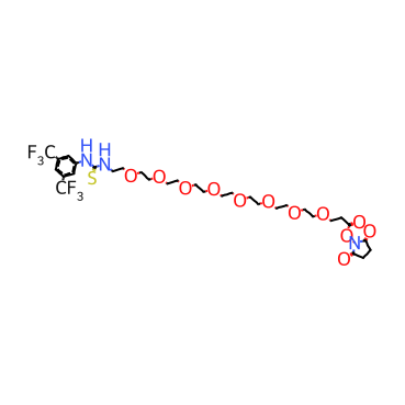 O=C(CCOCCOCCOCCOCCOCCOCCOCCOCCNC(=S)Nc1cc(C(F)(F)F)cc(C(F)(F)F)c1)ON1C(=O)CCC1=O